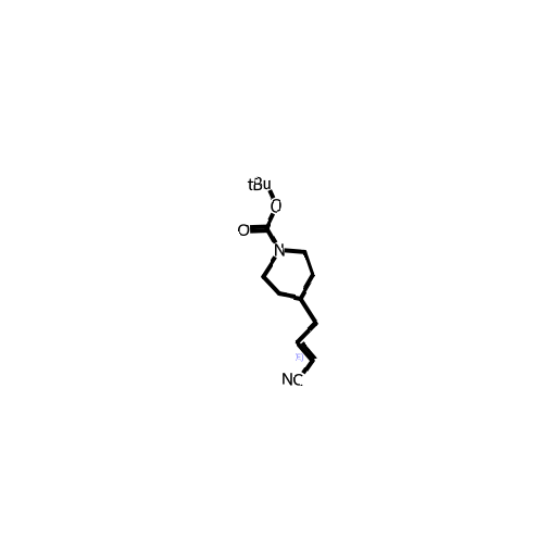 CC(C)(C)OC(=O)N1CCC(C/C=C/C#N)CC1